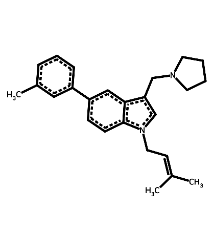 CC(C)=CCn1cc(CN2CCCC2)c2cc(-c3cccc(C)c3)ccc21